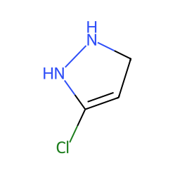 ClC1=CCNN1